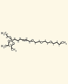 CCCCOCCOCCOCCNCCC[Si](OCC)(OCC)OCC